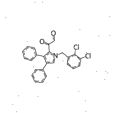 O=CC(=O)c1c(-c2ccccc2)c(-c2ccccc2)cn1Cc1cccc(Cl)c1Cl